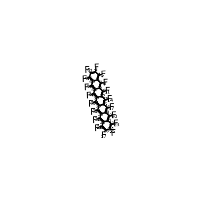 Fc1c(F)c(F)c2c(F)c3c(F)c4c(F)c5c(F)c6c(F)c7c(F)c(F)c(F)c(F)c7c(F)c6c(F)c5c(F)c4c(F)c3c(F)c2c1F